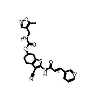 Cc1oncc1CNC(=O)OC1CCc2c(sc(NC(=O)/C=C/c3cccnc3)c2C#N)C1